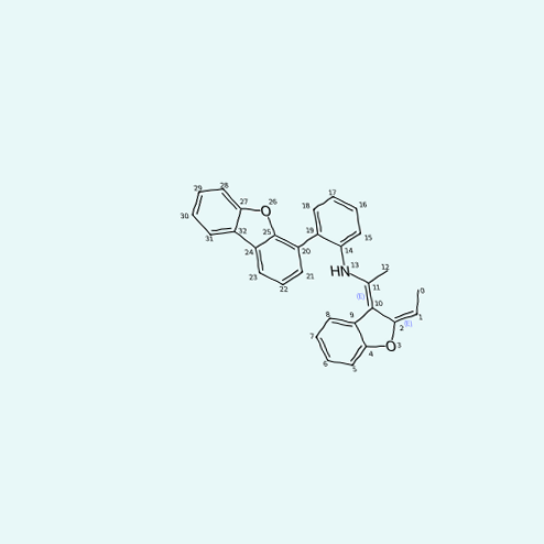 C/C=c1/oc2ccccc2/c1=C(/C)Nc1ccccc1-c1cccc2c1oc1ccccc12